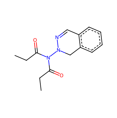 CCC(=O)N(C(=O)CC)N1Cc2ccccc2C=N1